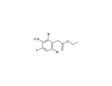 CCOC(=O)Cc1c(Br)cc(F)c(N)c1Br